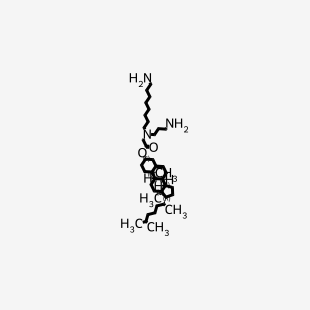 CC(C)CCCC(C)[C@H]1CC[C@H]2[C@@H]3CC=C4C[C@@H](OC(=O)CN(CCCN)CCCCCCCCN)CC[C@]4(C)[C@H]3CC[C@]12C